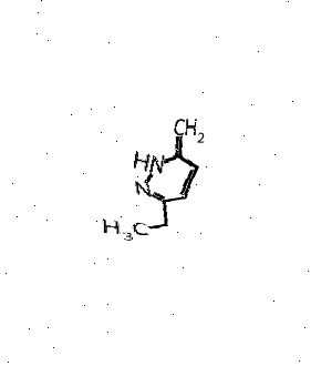 C=C1C=CC(CC)=NN1